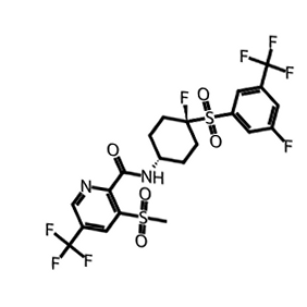 CS(=O)(=O)c1cc(C(F)(F)F)cnc1C(=O)N[C@H]1CC[C@@](F)(S(=O)(=O)c2cc(F)cc(C(F)(F)F)c2)CC1